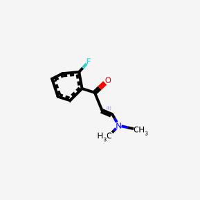 CN(C)/C=C/C(=O)c1[c]cccc1F